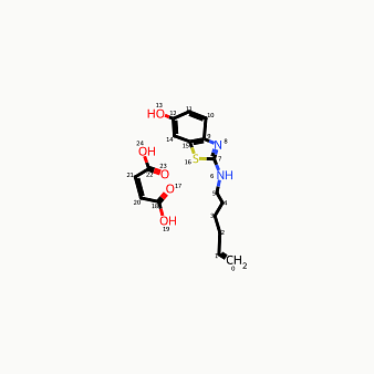 C=CCCCCNc1nc2ccc(O)cc2s1.O=C(O)/C=C\C(=O)O